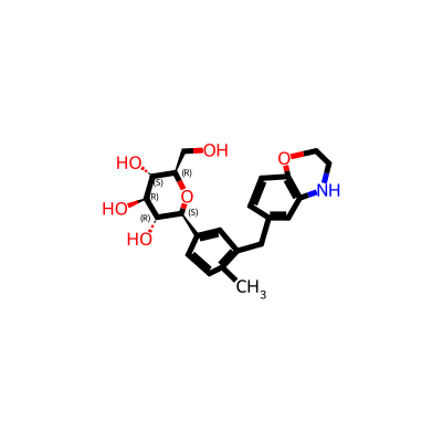 Cc1ccc([C@@H]2O[C@H](CO)[C@@H](O)[C@H](O)[C@H]2O)cc1Cc1ccc2c(c1)NCCO2